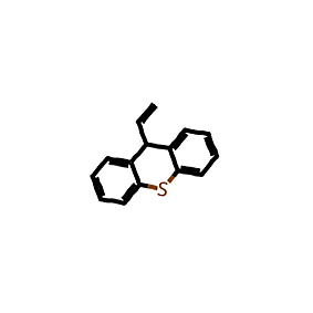 C=CC1c2ccccc2Sc2ccccc21